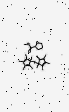 CC1=C(C)[C](C)([Y][C]2(C)C(C)=C(C)C(C)=C2C)C(C)=C1C.COC(=O)C1CCCO1